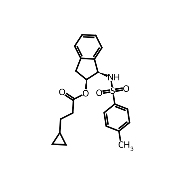 Cc1ccc(S(=O)(=O)N[C@@H]2c3ccccc3C[C@@H]2OC(=O)CCC2CC2)cc1